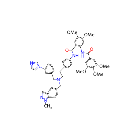 COc1cc(NC(=O)c2cc(OC)c(OC)c(OC)c2)c(C(=O)Nc2ccc(CCN(Cc3cccc(-n4ccnc4)c3)Cc3ccc4c(cnn4C)c3)cc2)cc1OC